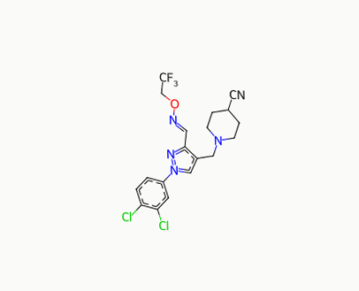 N#CC1CCN(Cc2cn(-c3ccc(Cl)c(Cl)c3)nc2/C=N/OCC(F)(F)F)CC1